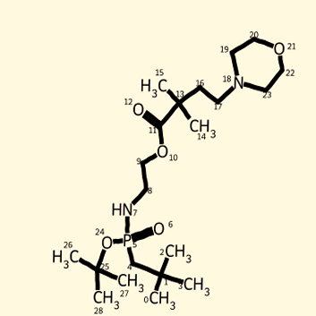 CC(C)(C)CP(=O)(NCCOC(=O)C(C)(C)CCN1CCOCC1)OC(C)(C)C